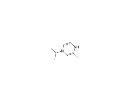 CC1=CN(C(C)C)C=CN1